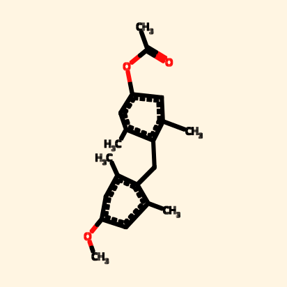 COc1cc(C)c(Cc2c(C)cc(OC(C)=O)cc2C)c(C)c1